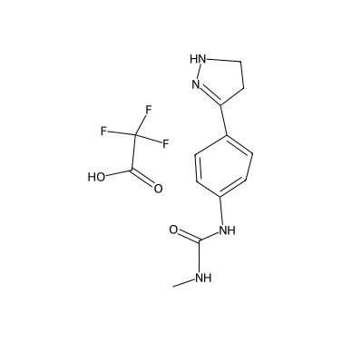 CNC(=O)Nc1ccc(C2=NNCC2)cc1.O=C(O)C(F)(F)F